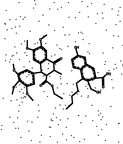 CCCCCc1c(CO)c(C(=O)O)cc2cc(O)ccc12.CCOC(=O)C1C(C)C(=O)c2cc(OC)c(OC)cc2C1c1cc(OC)c(OC)c(OC)c1